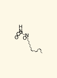 CC/C=C\C/C=C\C/C=C\CCCCCCCC(=O)N(C)CCc1c[nH]c2ccc(OC)cc12